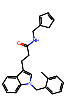 Cc1ccccc1Cn1cc(CCC(=O)NCC2=CC=CC2)c2ccccc21